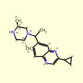 CC(c1ccc2ncc(C3CC3)nc2c1)N1C[C@H](C)NC[C@H]1C